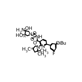 CC(C)COc1cc(F)cc(-c2ccc(C(=O)NS(=O)(=O)N3C[C@@H](O)C(N)(O)C3)c(N3C[C@@H](C)CC3(C)C)n2)c1